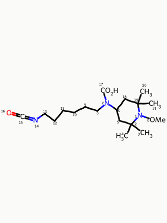 CON1C(C)(C)CC(N(CCCCCCN=C=O)C(=O)O)CC1(C)C